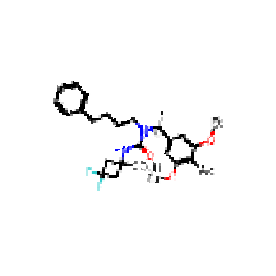 CCOc1cc([C@@H](C)N(CCCCc2ccccc2)C(=O)NC2(C(=O)O)CC(F)(F)C2)cc(OCC)c1C(C)=O